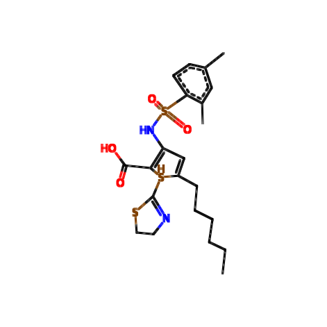 CCCCCCC1=CC(NS(=O)(=O)c2ccc(C)cc2C)=C(C(=O)O)[SH]1C1=NCCS1